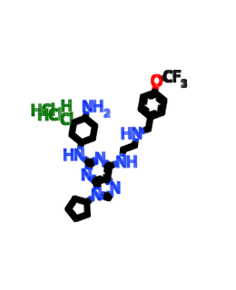 Cl.Cl.Cl.NC1CCC(Nc2nc(NCCNCc3ccc(OC(F)(F)F)cc3)c3ncn(C4CCCC4)c3n2)CC1